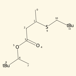 CC(CC(=O)OC(C)C(C)(C)C)SCC(C)(C)C